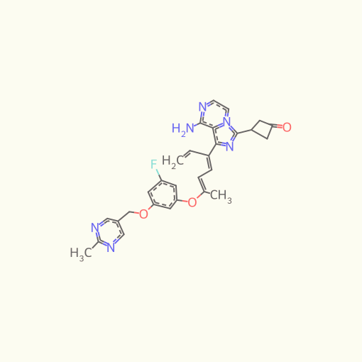 C=C/C(=C\C=C(/C)Oc1cc(F)cc(OCc2cnc(C)nc2)c1)c1nc(C2CC(=O)C2)n2ccnc(N)c12